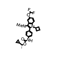 CNc1c(-c2ccc(NC(=O)O[C@H](C)C3CC3)cc2)n(C2CCC2)c2ccc(OC(F)F)cc12